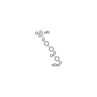 CCCCCCCCCCOc1ccc(C(=O)Oc2ccc(-c3ccc(OC[C@H]4OC(=O)O[C@@H]4CCC)cc3)cc2)cc1